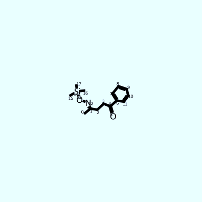 CC(CCC(=O)c1ccccc1)=NO[Si](C)(C)C